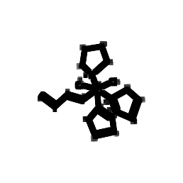 C=CC=[CH][Hf]([Cl])([Cl])([C]1=CC=CC1)([C]1=CC=CC1)[N]1CCCC1